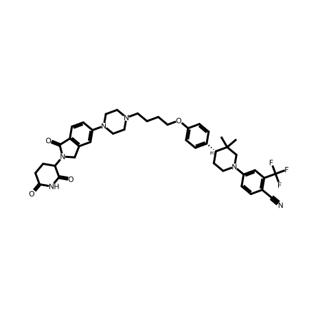 CC1(C)CN(c2ccc(C#N)c(C(F)(F)F)c2)CC[C@@H]1c1ccc(OCCCCN2CCN(c3ccc4c(c3)CN(C3CCC(=O)NC3=O)C4=O)CC2)cc1